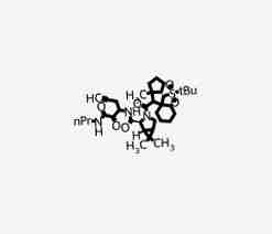 C#CCC(NC(=O)[C@@H]1[C@@H]2C(CN1C(=O)C(C1(C)CCCC1)C1(CS(=O)(=O)C(C)(C)C)CCCCC1)C2(C)C)C(=O)C(=O)NCCC